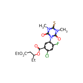 CCOC(=O)CC(CC)OC(=O)c1cc(-n2c(=O)n(C)c(=S)n(C)c2=O)c(F)cc1Cl